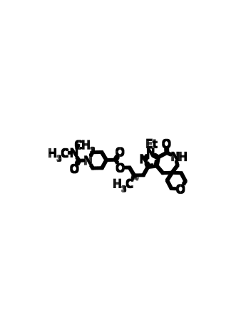 CCn1nc(C[C@@H](C)COC(=O)C2CCN(C(=O)N(C)C)CC2)c2c1C(=O)NCC1(CCOCC1)C2